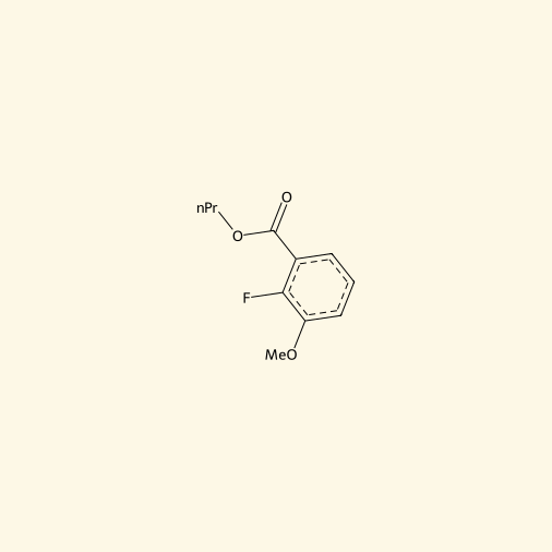 CCCOC(=O)c1cccc(OC)c1F